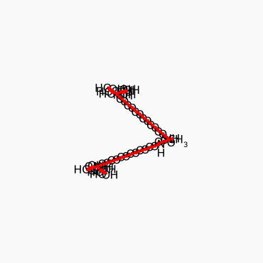 CC(=O)[C@H](CCCCNC(=O)CCOCCOCCOCCOCCOCCOCCOCCOCCOCCOCCOCCOCCN(C[C@H](O)[C@@H](O)[C@H](O)[C@H](O)CO)C[C@H](O)[C@@H](O)[C@H](O)[C@H](O)CO)NC(=O)CCOCCOCCOCCOCCOCCOCCOCCOCCOCCOCCOCCOCCN(C[C@H](O)[C@@H](O)[C@H](O)[C@H](O)CO)C[C@H](O)[C@@H](O)[C@H](O)[C@H](O)CO